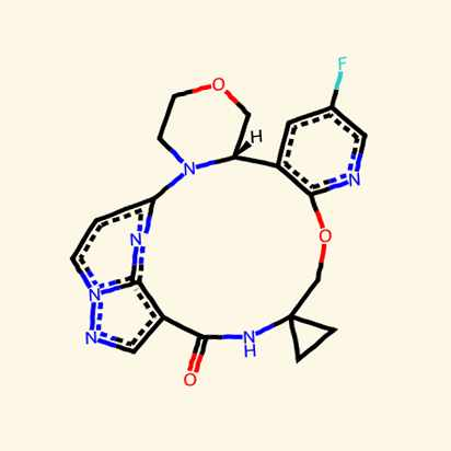 O=C1NC2(CC2)COc2ncc(F)cc2[C@H]2COCCN2c2ccn3ncc1c3n2